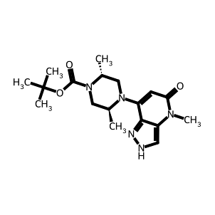 C[C@@H]1CN(c2cc(=O)n(C)c3c[nH]nc23)[C@@H](C)CN1C(=O)OC(C)(C)C